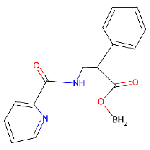 BOC(=O)C(CNC(=O)c1ccccn1)c1ccccc1